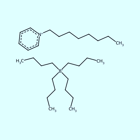 CCCCCCCC[n+]1ccccc1.CCCC[B-](CCCC)(CCCC)CCCC